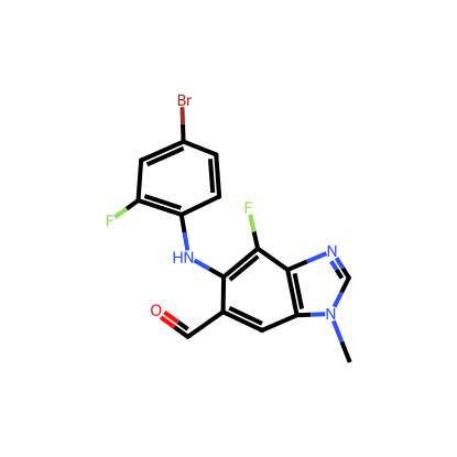 Cn1cnc2c(F)c(Nc3ccc(Br)cc3F)c(C=O)cc21